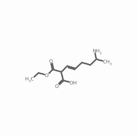 CCOC(=O)C(C=CCCC(C)N)C(=O)O